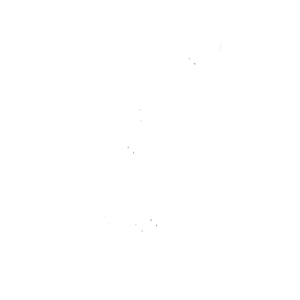 CCC(=O)c1n[nH]c2cc(O)c(C(=O)N3Cc4ccc(OC5CCN(C)CC5)cc4C3)cc12